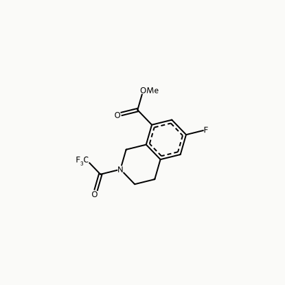 COC(=O)c1cc(F)cc2c1CN(C(=O)C(F)(F)F)CC2